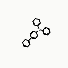 C1=CCCC(C2=CCC(N(C3=CCCC=C3)c3ccccc3)C=C2)=C1